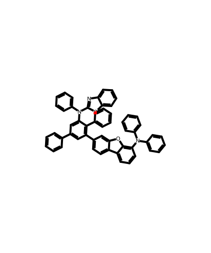 c1ccc(-c2cc(-c3ccc4c(c3)oc3c(N(c5ccccc5)c5ccccc5)cccc34)c(-c3ccccc3)c(N(c3ccccc3)c3nc4ccccc4o3)c2)cc1